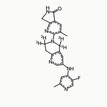 [2H]C1([2H])Cc2ncc(Nc3cc(C)ncc3F)cc2C([2H])([2H])N1c1nc2c(cc1C)C(=O)NC2